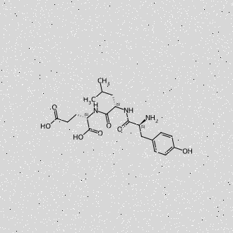 CC(C)C[C@H](NC(=O)[C@@H](N)Cc1ccc(O)cc1)C(=O)N[C@@H](CCC(=O)O)C(=O)O